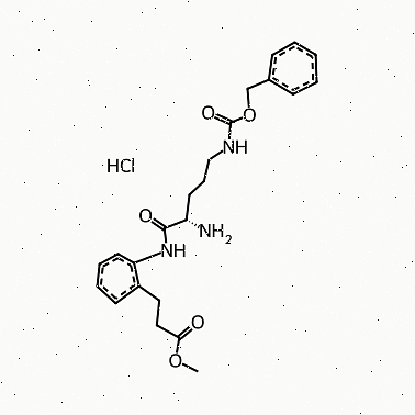 COC(=O)CCc1ccccc1NC(=O)[C@@H](N)CCCNC(=O)OCc1ccccc1.Cl